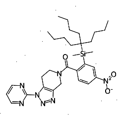 CCCCC(CCCC)(CCCC)[Si](C)(C)c1cc([N+](=O)[O-])ccc1C(=O)N1CCc2c(nnn2-c2ncccn2)C1